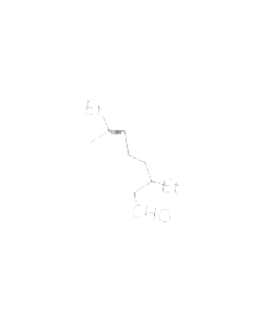 CCC(C)=CCCC(CC)CC=O